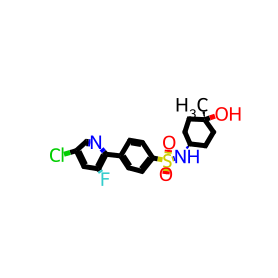 C[C@]1(O)CC[C@H](NS(=O)(=O)c2ccc(-c3ncc(Cl)cc3F)cc2)CC1